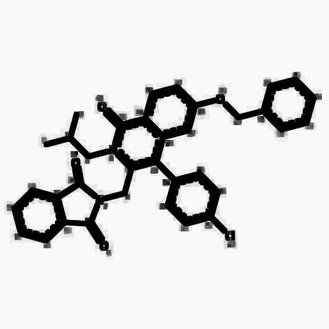 CC(C)Cn1c(CN2C(=O)c3ccccc3C2=O)c(-c2ccc(Cl)cc2)c2cc(OCc3ccccc3)ccc2c1=O